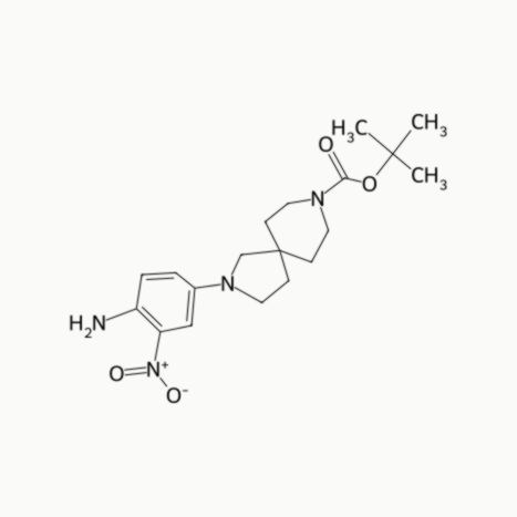 CC(C)(C)OC(=O)N1CCC2(CC1)CCN(c1ccc(N)c([N+](=O)[O-])c1)C2